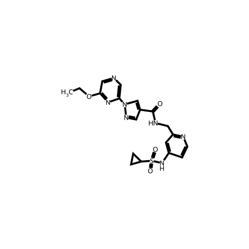 CCOc1cncc(-n2cc(C(=O)NCc3cc(NS(=O)(=O)C4CC4)ccn3)cn2)n1